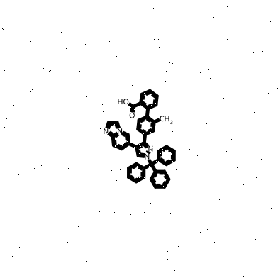 Cc1cc(-c2nn(C(c3ccccc3)(c3ccccc3)c3ccccc3)cc2-c2ccc3nccn3c2)ccc1-c1ccccc1C(=O)O